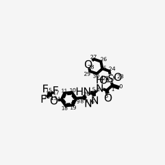 C=C(C(=O)Nc1nnc(-c2ccc(OC(F)(F)F)cc2)[nH]1)S(=O)(=O)CC1CCOCC1